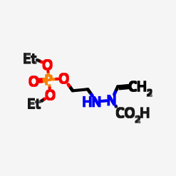 C=CN(NCCOP(=O)(OCC)OCC)C(=O)O